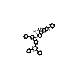 CC1(C)c2cc(-n3c4ccc(-c5ccccc5)cc4c4cc(-c5nc(-c6ccccc6)nc(-c6ccccc6)n5)ccc43)ccc2-c2cc3nc(-c4ccccc4)sc3cc21